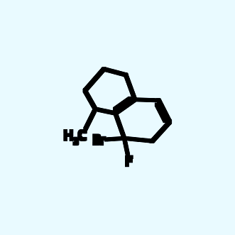 CC1CCCC2=C1C(F)(Br)CC=C2